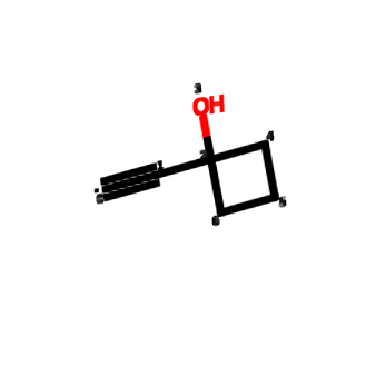 [C]#CC1(O)CCC1